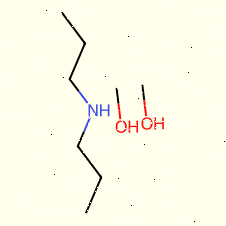 CCCNCCC.CO.CO